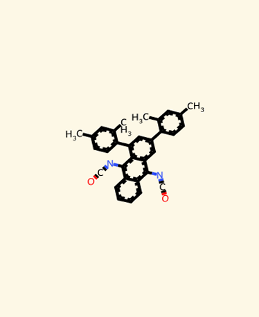 Cc1ccc(-c2cc(-c3ccc(C)cc3C)c3c(N=C=O)c4ccccc4c(N=C=O)c3c2)c(C)c1